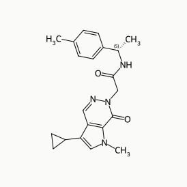 Cc1ccc([C@H](C)NC(=O)Cn2ncc3c(C4CC4)cn(C)c3c2=O)cc1